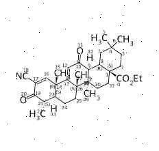 CCOC(=O)[C@]12CCC(C)(C)C[C@@H]1C1C(=O)C=C3[C@@]4(C)C=C(C#N)C(=O)[C@@H](C)[C@@H]4CC[C@@]3(C)[C@]1(C)CC2